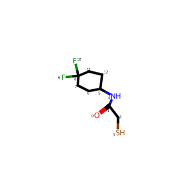 O=C(CS)NC1CCC(F)(F)CC1